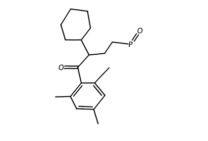 Cc1cc(C)c(C(=O)C(CCP=O)C2CCCCC2)c(C)c1